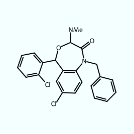 CNC1OC(c2ccccc2Cl)c2cc(Cl)ccc2N(Cc2ccccc2)C1=O